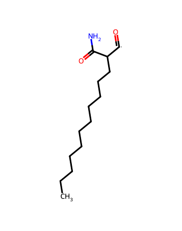 CCCCCCCCCCCC([C]=O)C(N)=O